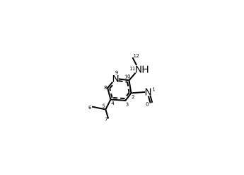 C=Nc1cc(C(C)C)cnc1NC